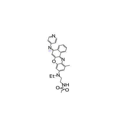 CCN(CCNS(C)(=O)=O)c1cc(C)c2nc3c4ccccc4/c(=N\c4ccncc4)cc-3oc2c1